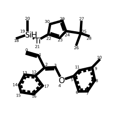 C=CC(=COc1cccc(C)c1)c1ccccc1.C[SiH](C)[Ti][C]1=CC(C(C)(C)C)=CC1